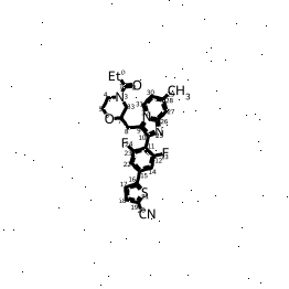 CCC(=O)N1CCOC(Cc2c(-c3c(F)cc(-c4ccc(C#N)s4)cc3F)nc3cc(C)ccn23)C1